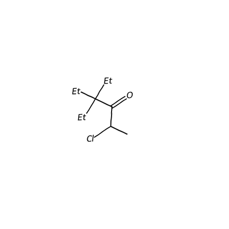 CCC(CC)(CC)C(=O)C(C)Cl